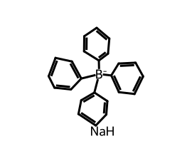 [NaH].c1ccc([B-](c2ccccc2)(c2ccccc2)c2ccccc2)cc1